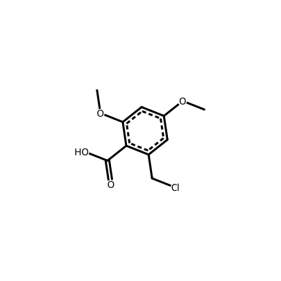 COc1cc(CCl)c(C(=O)O)c(OC)c1